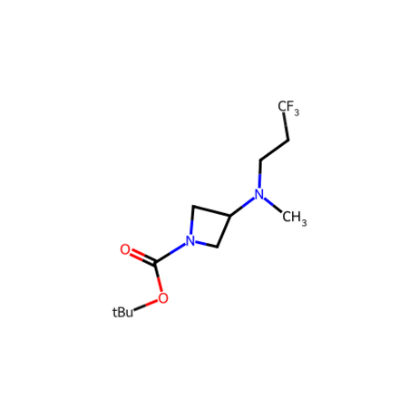 CN(CCC(F)(F)F)C1CN(C(=O)OC(C)(C)C)C1